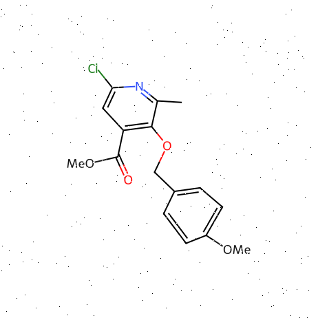 COC(=O)c1cc(Cl)nc(C)c1OCc1ccc(OC)cc1